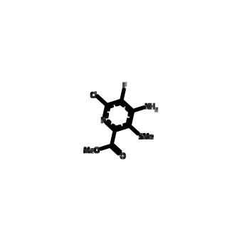 COC(=O)c1nc(Cl)c(F)c(N)c1SC